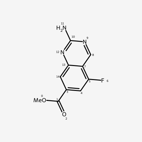 COC(=O)c1cc(F)c2cnc(N)nc2c1